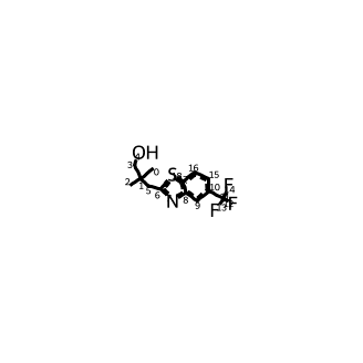 CC(C)(CO)Cc1nc2cc(C(F)(F)F)ccc2s1